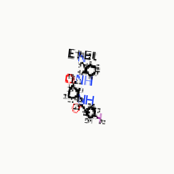 CCN(CC)Cc1ccccc1CNC(=O)c1cccc(NC(=O)c2ccc(I)cc2)c1